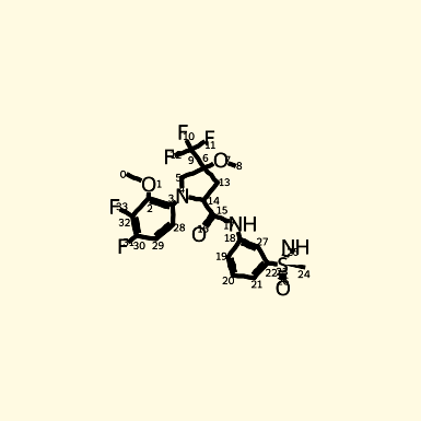 COc1c(N2CC(OC)(C(F)(F)F)CC2C(=O)Nc2cccc([S@](C)(=N)=O)c2)ccc(F)c1F